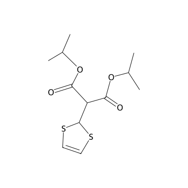 CC(C)OC(=O)C(C(=O)OC(C)C)C1SC=CS1